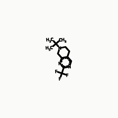 CC(C)(C)N1CCc2cnc(C(F)(F)F)nc2C1